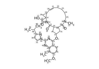 COc1ccc2c(OC3CC4C(=O)NC5(C(=O)O)CC5C=CCCCCN(C)C(=O)C4C3)nc(-n3ccc(C(C)C)n3)nc2c1C